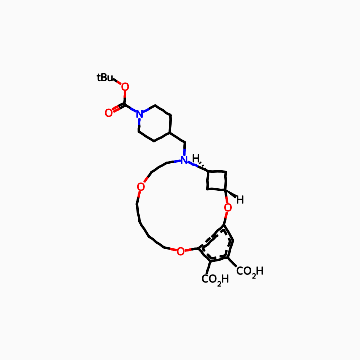 CC(C)(C)OC(=O)N1CCC(CN2CCOCCCCOc3cc(cc(C(=O)O)c3C(=O)O)O[C@H]3C[C@H]2C3)CC1